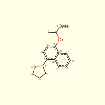 COC(C)Oc1ccc(C2CCCS2)c2ccccc12